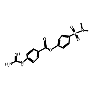 CN(C)S(=O)(=O)c1ccc(OC(=O)c2ccc(NC(=N)N)cc2)cc1